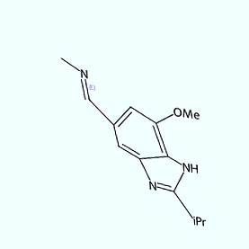 C/N=C/c1cc(OC)c2[nH]c(C(C)C)nc2c1